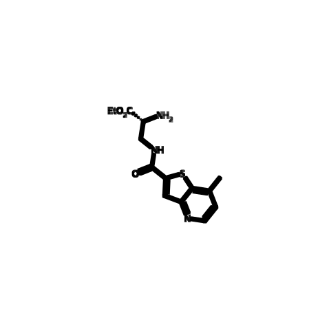 CCOC(=O)[C@H](N)CNC(=O)c1cc2nccc(C)c2s1